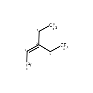 CC(C)C=C(CC(F)(F)F)CC(F)(F)F